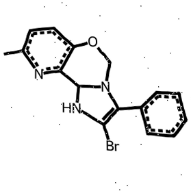 Cc1ccc2c(n1)C1NC(Br)=C(c3ccccc3)N1CO2